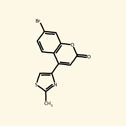 Cc1nc(-c2cc(=O)oc3cc(Br)ccc23)cs1